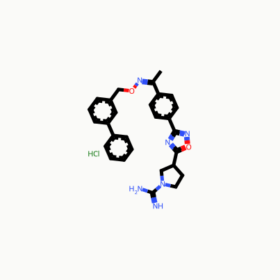 CC(=NOCc1cccc(-c2ccccc2)c1)c1ccc(-c2noc(C3CCN(C(=N)N)C3)n2)cc1.Cl